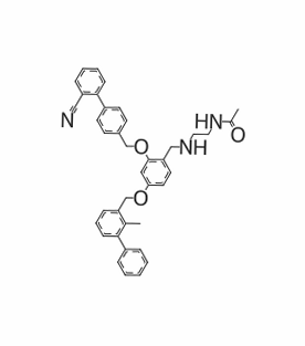 CC(=O)NCCNCc1ccc(OCc2cccc(-c3ccccc3)c2C)cc1OCc1ccc(-c2ccccc2C#N)cc1